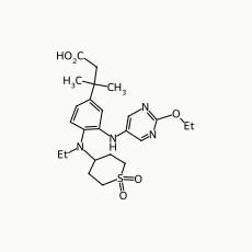 CCOc1ncc(Nc2cc(C(C)(C)CC(=O)O)ccc2N(CC)C2CCS(=O)(=O)CC2)cn1